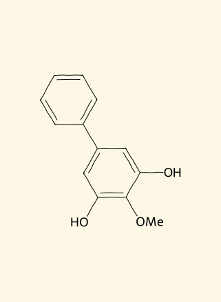 COc1c(O)cc(-c2ccccc2)cc1O